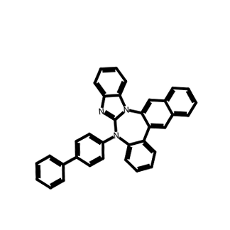 c1ccc(-c2ccc(N3c4ccccc4-c4cc5ccccc5cc4-n4c3nc3ccccc34)cc2)cc1